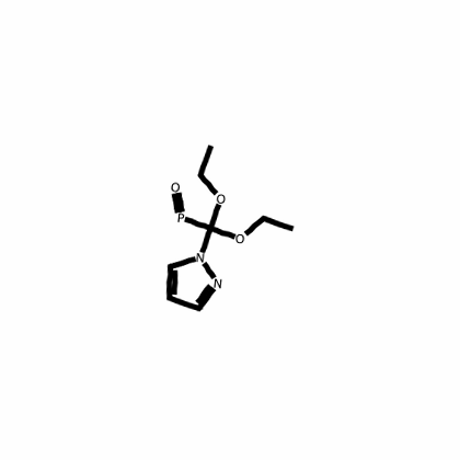 CCOC(OCC)(P=O)n1cc[c]n1